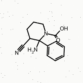 N#CC1CCCN(C(=O)O)C1(N)c1ccccc1